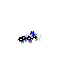 CC(C)C(Cc1ccc(-c2ccc3cccc(F)c3c2)[nH]c1=O)c1nnc[nH]1